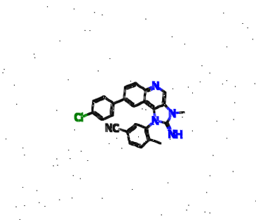 Cc1ccc(C#N)cc1-n1c(=N)n(C)c2cnc3ccc(-c4ccc(Cl)cc4)cc3c21